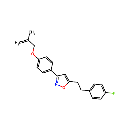 C=C(C)COc1ccc(-c2cc(CCc3ccc(F)cc3)on2)cc1